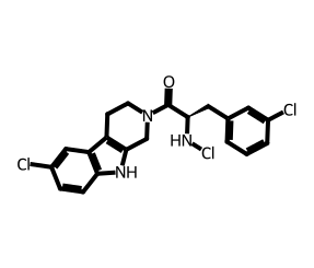 O=C([C@@H](Cc1cccc(Cl)c1)NCl)N1CCc2c([nH]c3ccc(Cl)cc23)C1